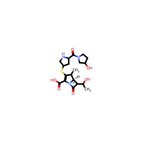 CC(O)C1C(=O)N2C(C(=O)O)=C(SC3CNC(C(=O)N4CCC(O)C4)C3)C(C)[C@@H]12